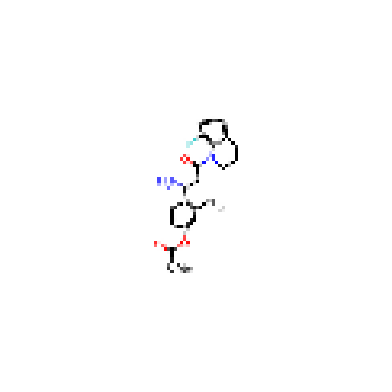 COC(=O)Oc1ccc(C(N)CC(=O)N2CCCc3cccc(F)c32)c(C)c1